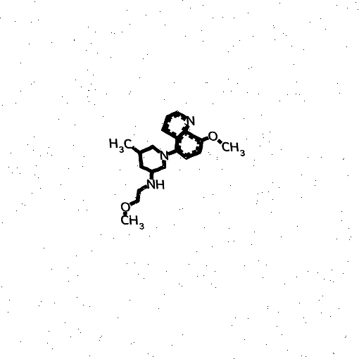 COCCNC1CC(C)CN(c2ccc(OC)c3ncccc23)C1